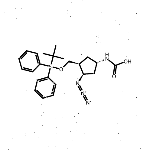 CC(C)(C)[Si](OC[C@H]1C[C@H](NC(=O)O)C[C@H]1N=[N+]=[N-])(c1ccccc1)c1ccccc1